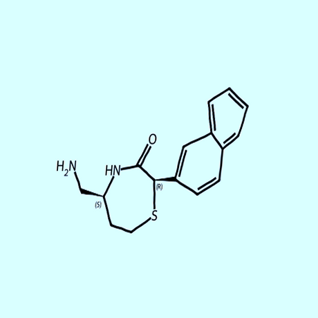 NC[C@@H]1CCS[C@H](c2ccc3ccccc3c2)C(=O)N1